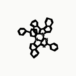 c1ccc(-c2cccc(-n3c4ccc5ccccc5c4c4nc(-c5ccccc5)nc(-n5c6ccc7ccccc7c6c6c7ccccc7ccc65)c43)c2)cc1